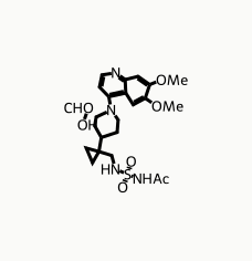 COc1cc2nccc(N3CCC(C4(CNS(=O)(=O)NC(C)=O)CC4)CC3)c2cc1OC.O=CO